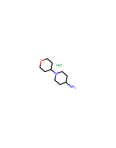 Cl.NC1CCN(C2CCOCC2)CC1